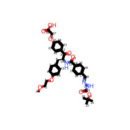 COCCOc1ccc(C[C@H](NC(=O)c2ccc(C=NNC(=O)OC(C)(C)C)cc2)C(=O)c2ccc(OCC(=O)O)cc2)cc1